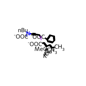 CC=CC=CC(=O)[O-].CCCCN(C#CCI)C(=O)[O-].COC.O=C([O-])c1ccccc1.[K+].[K+].[Na+]